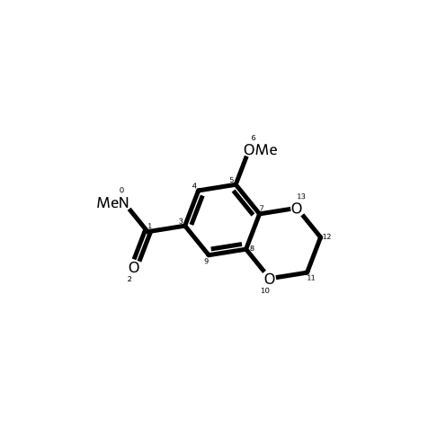 CNC(=O)c1cc(OC)c2c(c1)OCCO2